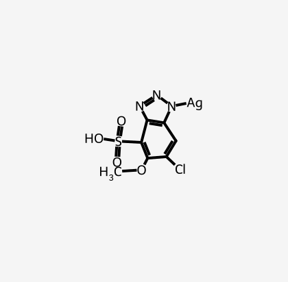 COc1c(Cl)cc2c(nn[n]2[Ag])c1S(=O)(=O)O